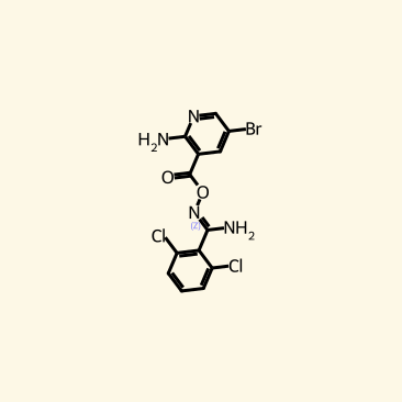 N/C(=N\OC(=O)c1cc(Br)cnc1N)c1c(Cl)cccc1Cl